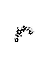 C=C(F)C(C)(N=C(N)[C@@H]1CCCN1)C(C)Cc1cc2[nH]c([C@@H]3CCCN3)nc2cc1F